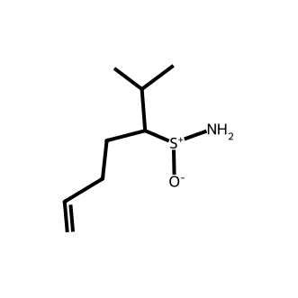 C=CCCC(C(C)C)[S+](N)[O-]